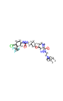 CN(C)CCNC(=O)c1cc(Oc2cccc(CCC(=O)Nc3ccc(Cl)c(C(F)(F)F)c3)c2)ccn1